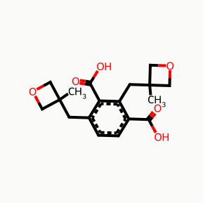 CC1(Cc2ccc(C(=O)O)c(CC3(C)COC3)c2C(=O)O)COC1